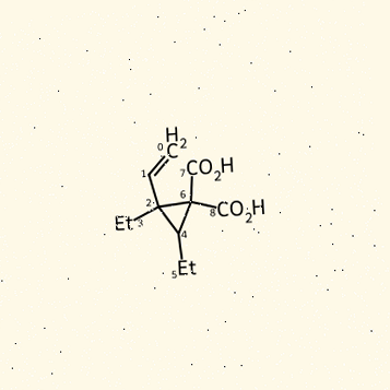 C=CC1(CC)C(CC)C1(C(=O)O)C(=O)O